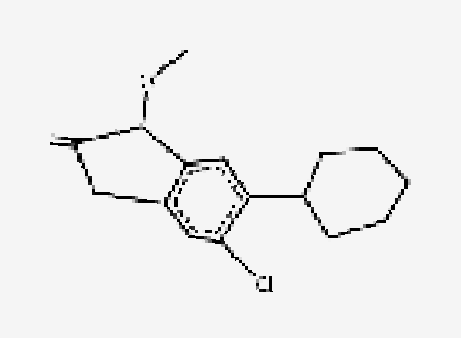 C=C1Cc2cc(Cl)c(C3CCCCC3)cc2C1OC